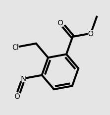 COC(=O)c1cccc(N=O)c1CCl